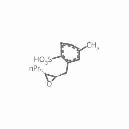 CCC[C@H]1O[C@@H]1Cc1cc(C)ccc1S(=O)(=O)O